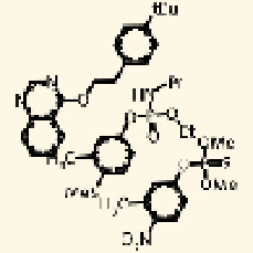 CC(C)(C)c1ccc(CCOc2ncnc3ccccc23)cc1.CCOP(=O)(NC(C)C)Oc1ccc(SC)c(C)c1.COP(=S)(OC)Oc1ccc([N+](=O)[O-])c(C)c1